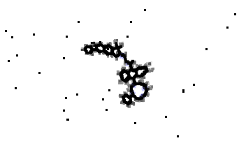 C/C(=C\C=C1/Cc2cc3cc4c(cc3cc2C1(C)C)oc1ccccc14)c1c2ccccc2c(/C2=C/C=C(/c3ccccc3)C/C=C\C=C/C2)c2ccccc12